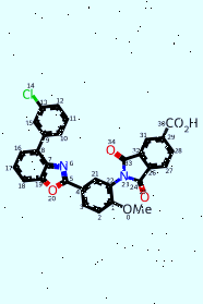 COc1ccc(-c2nc3c(-c4cccc(Cl)c4)cccc3o2)cc1N1C(=O)c2ccc(C(=O)O)cc2C1=O